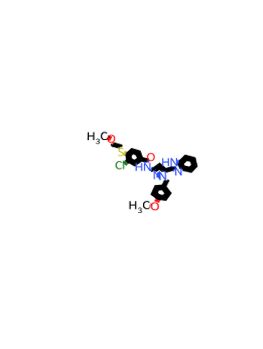 COCCSc1ccc(C(=O)Nc2cc(-c3nc4ccccc4[nH]3)n(Cc3ccc(OC)cc3)n2)cc1Cl